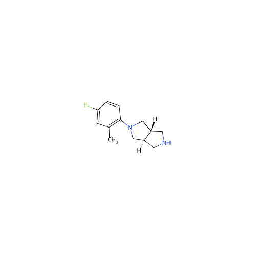 Cc1cc(F)ccc1N1C[C@@H]2CNC[C@H]2C1